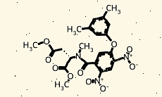 COC(=O)C[C@@H](C(=O)OC)N(C)C(=O)c1cc(Oc2cc(C)cc(C)c2)c([N+](=O)[O-])cc1[N+](=O)[O-]